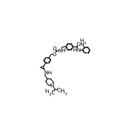 CC(C)N1CCC(CNC2CC2c2ccc(COC(=O)NCc3ccc(C(=O)Nc4ccccc4N)cc3)cc2)CC1